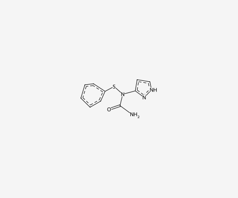 NC(=O)N(Sc1ccccc1)c1cc[nH]n1